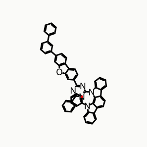 c1ccc(-c2cccc(-c3ccc4c(c3)oc3cc(-c5nc(-c6ccccc6)nc(-n6c7ccccc7c7ccc8c9ccccc9n(-c9ccccc9)c8c76)n5)ccc34)c2)cc1